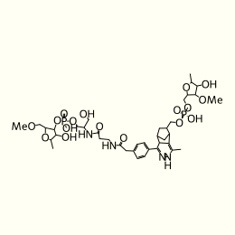 COCC1OC(C)C(O)C1OP(=O)(O)OCC(CO)NC(=O)CCNC(=O)Cc1ccc(C2=NNC(C)=C3C4CC(CC4COP(=O)(O)OCC4OC(C)C(O)C4OC)C23)cc1